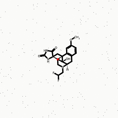 COc1ccc2c(c1)[C@]13CCN(CC(F)F)[C@H](C2)[C@]1(O)CC[C@@]1(C3)NC(=O)NC1=O